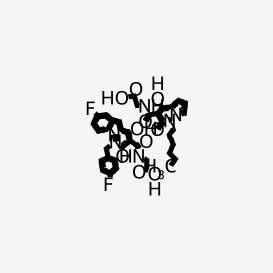 CCCCCCn1c(=O)c(C(=O)NCC(=O)O)c(O)c2cccn21.O=C(O)CNC(=O)c1c(O)c2cc3cc(F)ccc3n2n(Cc2ccc(F)cc2)c1=O